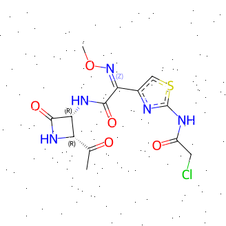 CO/N=C(\C(=O)N[C@H]1C(=O)N[C@H]1C(C)=O)c1csc(NC(=O)CCl)n1